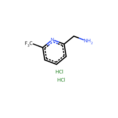 Cl.Cl.NCc1cccc(C(F)(F)F)n1